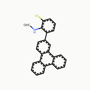 O=CNc1c(S)cccc1-c1ccc2c3ccccc3c3ccccc3c2c1